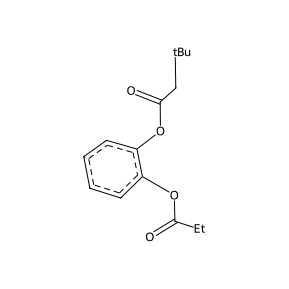 CCC(=O)Oc1ccccc1OC(=O)CC(C)(C)C